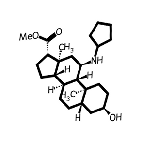 COC(=O)[C@H]1CC[C@H]2[C@@H]3CC[C@H]4C[C@H](O)CC[C@]4(C)[C@H]3[C@H](NC3CCCC3)C[C@]12C